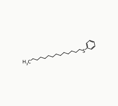 CCCCCCCCCCCCCCSc1ccccc1